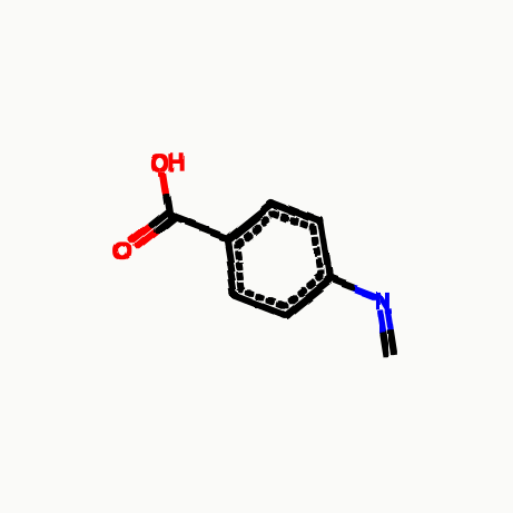 C=Nc1ccc(C(=O)O)cc1